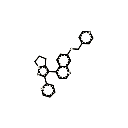 c1ccc(-c2nn3c(c2-c2ccnc4cc(OCc5ccncc5)ccc24)CCC3)nc1